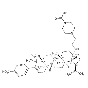 C=C(C)[C@@H]1CC[C@]2(NCCN3CCN(C(=O)C(C)C)CC3)CC[C@]3(C)[C@H](CC[C@@H]4[C@@]5(C)CC=C(c6ccc(C(=O)O)cc6)C(C)(C)[C@@H]5CC[C@]43C)[C@@H]12